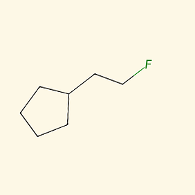 FCCC1CCCC1